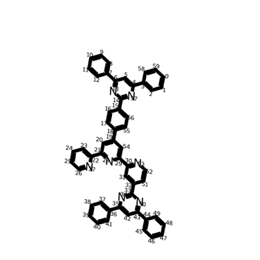 c1ccc(-c2cc(-c3ccccc3)nc(-c3ccc(-c4cc(-c5ccccn5)nc(-c5cc(-c6nc(-c7ccccc7)cc(-c7ccccc7)n6)ccn5)c4)cc3)n2)cc1